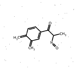 C=c1ccc(C(=O)C(C)N=O)cc1=C